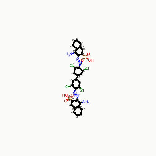 Nc1c(/N=N/c2c(Cl)cc(-c3cc(Cl)c(/N=N/c4c(S(=O)(=O)O)cc5ccccc5c4N)c(Cl)c3)cc2Cl)c(S(=O)(=O)O)cc2ccccc12